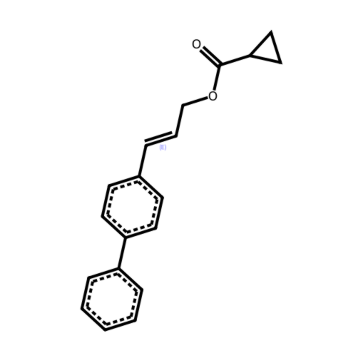 O=C(OC/C=C/c1ccc(-c2ccccc2)cc1)C1CC1